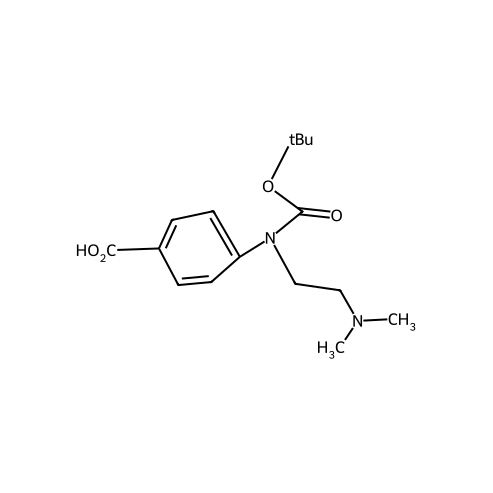 CN(C)CCN(C(=O)OC(C)(C)C)c1ccc(C(=O)O)cc1